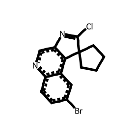 ClC1=Nc2cnc3ccc(Br)cc3c2C12CCCC2